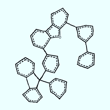 c1ccc(-c2cccc(-c3cccc4c3oc3c(-c5cccc(C6(c7ccccc7)c7ccccc7-c7ccccc76)c5)cccc34)c2)cc1